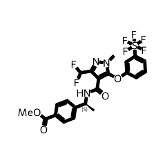 COC(=O)c1ccc([C@H](C)NC(=O)c2c(C(F)F)nn(C)c2Oc2cccc(S(F)(F)(F)(F)F)c2)cc1